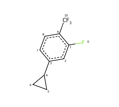 Fc1cc(C2CC2)ccc1C(F)(F)F